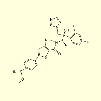 COC(=N)c1ccc(-c2cc3ncn([C@H](C)[C@](O)(Cn4cncn4)c4ccc(F)cc4F)c(=O)c3s2)cc1